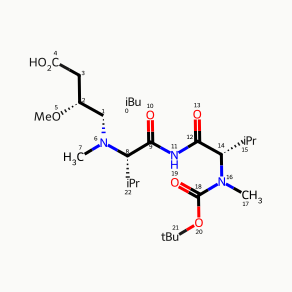 CC[C@H](C)[C@@H]([C@@H](CC(=O)O)OC)N(C)[C@H](C(=O)NC(=O)[C@H](C(C)C)N(C)C(=O)OC(C)(C)C)C(C)C